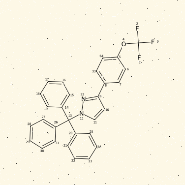 FC(F)(F)Oc1ccc(-c2ccn(C(c3ccccc3)(c3ccccc3)c3ccccc3)n2)cc1